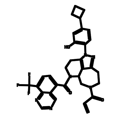 C=CC(=O)N1CCc2nn(-c3ccc(C4CCC4)cc3O)c3c2C(C1)N(C(=O)c1ccc(C(F)(F)F)c2ncncc12)CC3